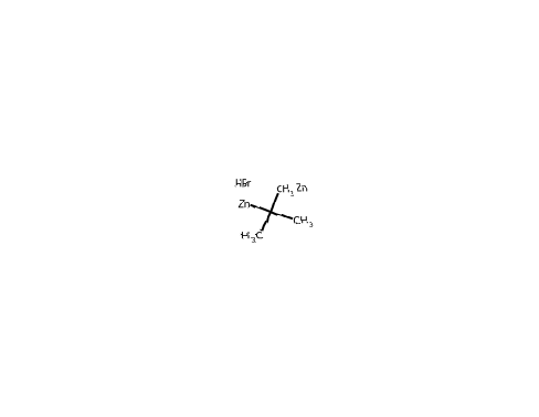 Br.C[C](C)(C)[Zn].[Zn]